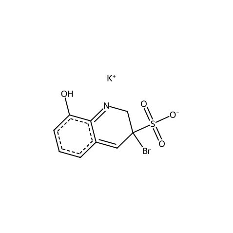 O=S(=O)([O-])C1(Br)C=c2cccc(O)c2=NC1.[K+]